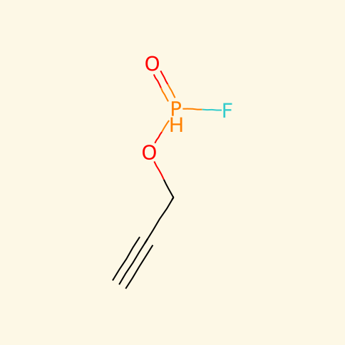 C#CCO[PH](=O)F